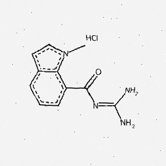 Cl.Cn1ccc2cccc(C(=O)N=C(N)N)c21